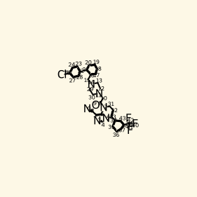 N#Cc1ncn2c1N(C(=O)CN1CCN(Cc3ccccc3-c3ccc(Cl)cc3)CC1)CC=C2c1cccc(C(F)(F)F)c1